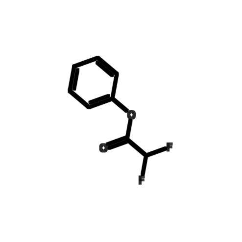 O=C(Oc1ccccc1)C(F)F